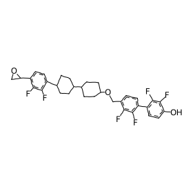 Oc1ccc(-c2ccc(COC3CCC(C4CCC(c5ccc(C6CO6)c(F)c5F)CC4)CC3)c(F)c2F)c(F)c1F